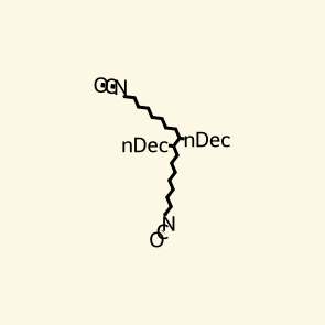 CCCCCCCCCCC(CCCCCCCCN=C=O)C(CCCCCCCCCC)CCCCCCCCN=C=O